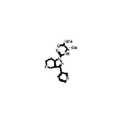 CNC(=O)[C@@H](NC(=O)n1nc(-c2cccnc2)c2c1CCOC2)C(C)(C)C